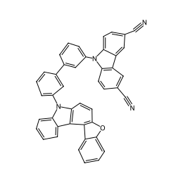 N#Cc1ccc2c(c1)c1cc(C#N)ccc1n2-c1cccc(-c2cccc(-n3c4ccccc4c4c5c(ccc43)oc3ccccc35)c2)c1